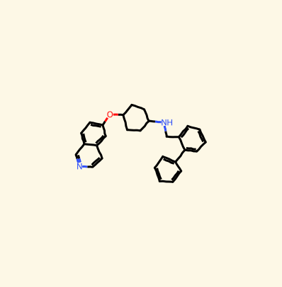 c1ccc(-c2ccccc2CNC2CCC(Oc3ccc4cnccc4c3)CC2)cc1